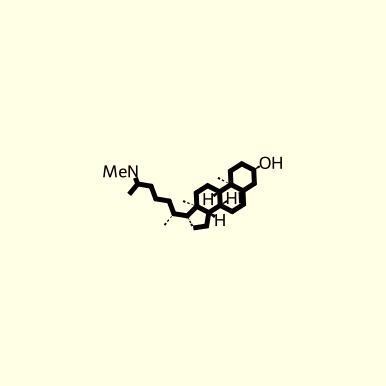 CNC(C)CCC[C@@H](C)[C@H]1CC[C@H]2[C@@H]3CC=C4C[C@@H](O)CC[C@]4(C)[C@H]3CC[C@]12C